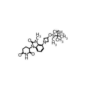 Cn1c(=O)n(C2CCC(=O)NC2=O)c2cccc(N3CC(O[Si](C)(C)C(C)(C)C)C3)c21